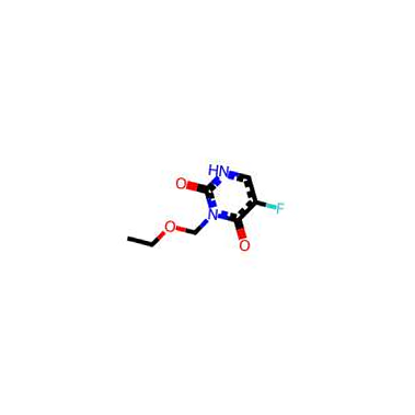 CCOCn1c(=O)[nH]cc(F)c1=O